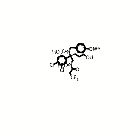 COc1ccc(CN(C(=O)O)[C@](CCCO)(CN(C)C(=O)CC(F)(F)F)c2ccc(Cl)c(Cl)c2)cc1